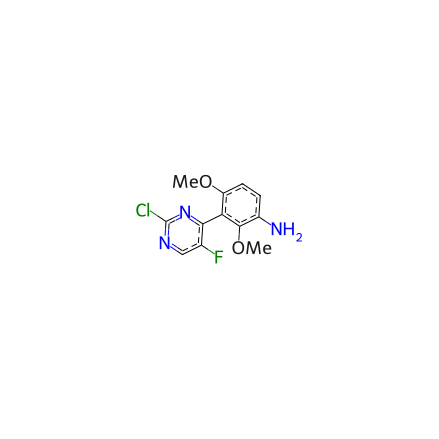 COc1ccc(N)c(OC)c1-c1nc(Cl)ncc1F